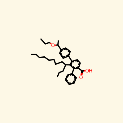 CCCCCCCCC(CCC)c1c(-c2ccc(C(C)OCCC)cc2)ccc(C(=O)O)c1-c1ccccc1